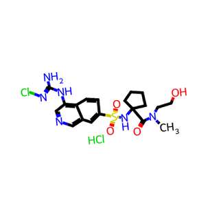 CN(CCO)C(=O)C1(NS(=O)(=O)c2ccc3c(NC(N)=NCl)cncc3c2)CCCC1.Cl